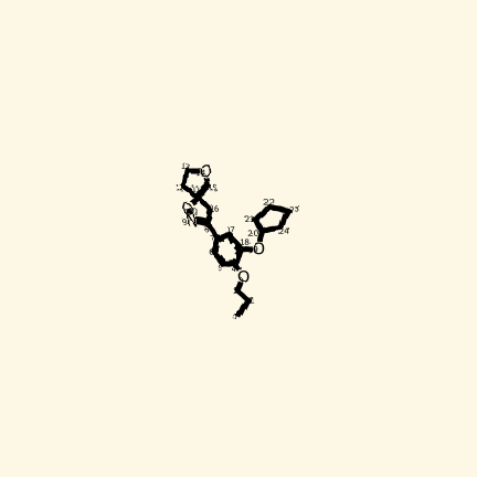 CCCOc1ccc(C2=NOC3(CCOC3)C2)cc1OC1CCCC1